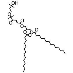 CCCCCCCCCCCCCC(=O)OCC(COC(=O)/C=C/C(=O)C(C)(C)OCCC(C)(C)O)OC(=O)CCCCCCCCCCCCC